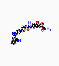 N=C/C(=C\NC1CCN(C2CCC(CC(=O)NCc3ccc4c(c3)CN(C(C=O)CCC(N)=O)C4=O)CC2)CC1)C1=Nc2ccccc2NC1